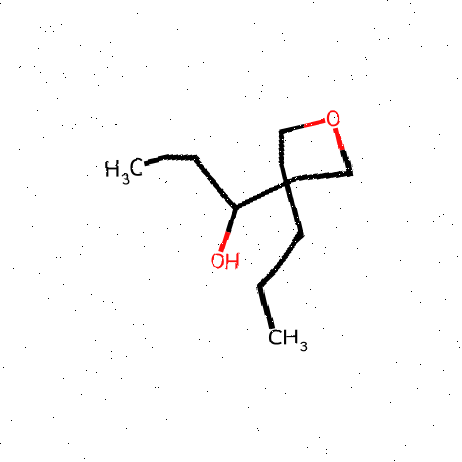 CCCC1(C(O)CC)COC1